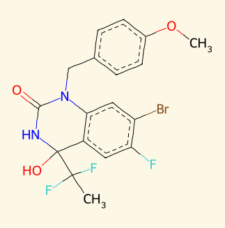 COc1ccc(CN2C(=O)NC(O)(C(C)(F)F)c3cc(F)c(Br)cc32)cc1